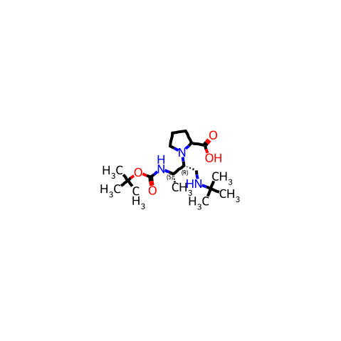 C[C@H](NC(=O)OC(C)(C)C)[C@@H](CNC(C)(C)C)N1CCCC1C(=O)O